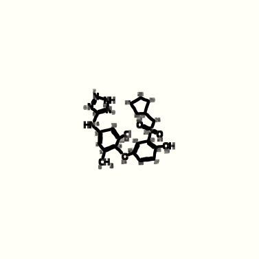 Cc1cc(Nc2nn[nH]n2)cc(Cl)c1Oc1ccc(O)c(S(=O)(=O)CC2CCCC2)c1